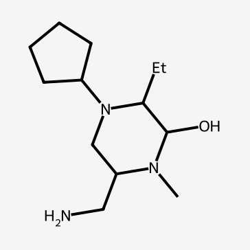 CCC1C(O)N(C)C(CN)CN1C1CCCC1